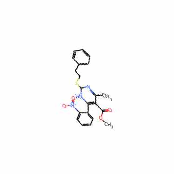 COC(=O)C1=C(c2ccccc2[N+](=O)[O-])NC(SCCc2ccccc2)N=C1C